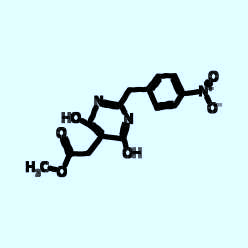 COC(=O)Cc1c(O)nc(Cc2ccc([N+](=O)[O-])cc2)nc1O